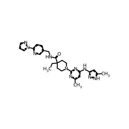 CCC1(C(=O)NCc2ccc(-n3cccn3)nc2)CCN(c2nc(C)cc(Nc3cc(C)[nH]n3)n2)CC1